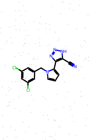 N#Cc1[nH]nnc1-c1cccn1Cc1cc(Cl)cc(Cl)c1